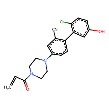 C=CC(=O)N1CCN(c2ccc(-c3cc(O)ccc3Cl)c(C#N)c2)CC1